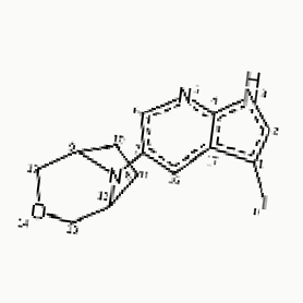 Ic1c[nH]c2ncc(N3C4CCC3COC4)cc12